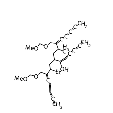 C=C=C=C=C=C(COCOC)C(C)CC(CC(CC)C(=C=C=C=C=C)COCOC)C(O)=C=C=C=C=C